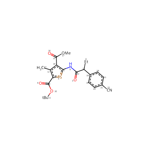 CCC(C(=O)Nc1sc(C(=O)OC(C)(C)C)c(C)c1C(=O)OC)c1ccc(C#N)cc1